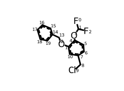 FC(F)Oc1ccc(CCl)cc1OCc1ccccc1